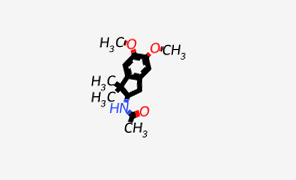 COc1cc2c(cc1OC)C(C)(C)C(NC(C)=O)C2